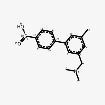 Cc1cc(CN(C)C)cc(-c2ccc([S@@](=O)O)cc2)c1